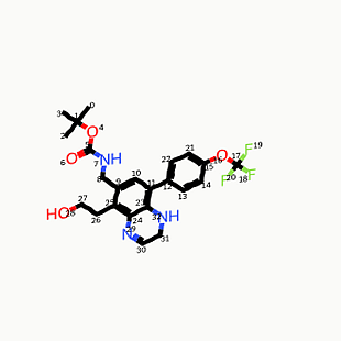 CC(C)(C)OC(=O)NCc1cc(-c2ccc(OC(F)(F)F)cc2)c2c(c1CCO)N=CCN2